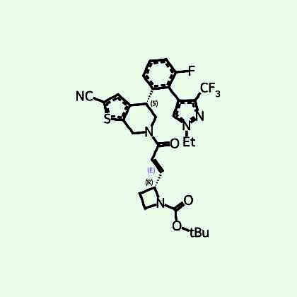 CCn1cc(-c2c(F)cccc2[C@@H]2CN(C(=O)/C=C/[C@H]3CCN3C(=O)OC(C)(C)C)Cc3sc(C#N)cc32)c(C(F)(F)F)n1